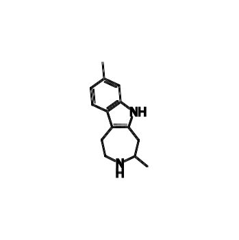 Cc1ccc2c3c([nH]c2c1)CC(C)NCC3